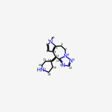 Cn1ccc2c1CCn1ncnc1C2=C1CCNCC1